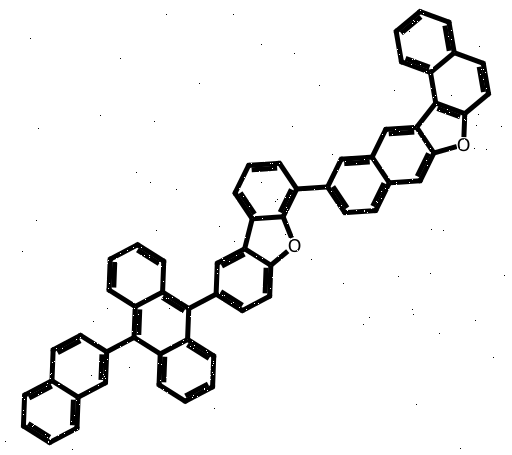 c1ccc2cc(-c3c4ccccc4c(-c4ccc5oc6c(-c7ccc8cc9oc%10ccc%11ccccc%11c%10c9cc8c7)cccc6c5c4)c4ccccc34)ccc2c1